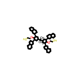 CC(C)(c1cc(-c2ccc3ccccc3c2)c(OCCS)c(-c2ccc3ccccc3c2)c1)c1cc(-c2ccc3ccccc3c2)c(OCCS)c(-c2ccc3ccccc3c2)c1